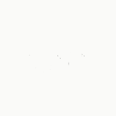 O=C([C@@H]1CCCN1)N1CCc2c(Br)cccc21